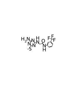 CSc1nc(N)nc(NCC(=O)Nc2cccc(C(F)(F)F)c2)n1